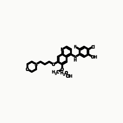 COc1cc2c(Nc3cc(O)c(Cl)cc3F)ccnc2cc1OCCCN1CCOCC1.Cl.O